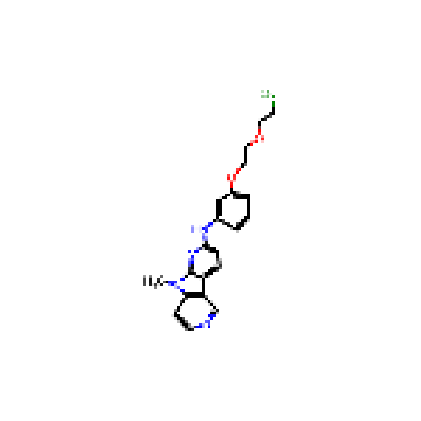 Cn1c2ccncc2c2ccc(Nc3cccc(OCCOCC[18F])c3)nc21